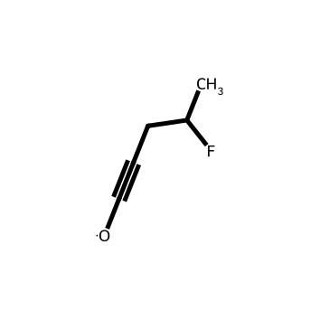 CC(F)CC#C[O]